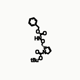 CC(C)(C)OC(=O)N1CC=C[C@H]1CONC(=O)OCc1ccccc1